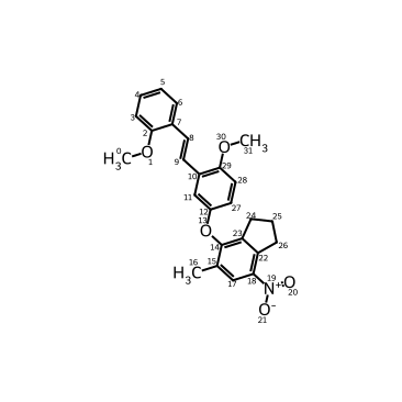 COc1ccccc1/C=C/c1cc(Oc2c(C)cc([N+](=O)[O-])c3c2CCC3)ccc1OC